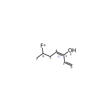 C=C/C(O)=C\CC(C)F